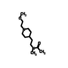 COCCN1CCC(CCN(C)C(C)=O)CC1